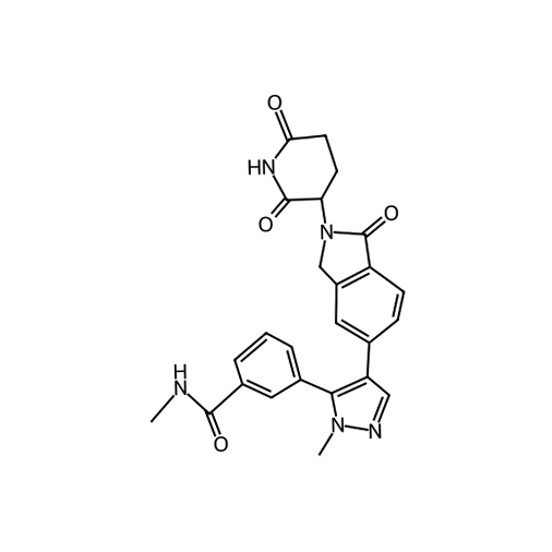 CNC(=O)c1cccc(-c2c(-c3ccc4c(c3)CN(C3CCC(=O)NC3=O)C4=O)cnn2C)c1